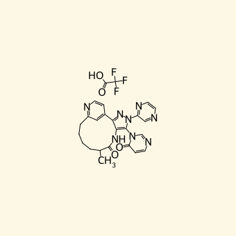 CC1CCCCc2cc(ccn2)-c2nn(-c3cnccn3)c(-n3cnccc3=O)c2NC1=O.O=C(O)C(F)(F)F